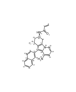 C=CC(=O)N[C@H]1Cc2c(c(-c3cnc4ccccc4c3)c3c(N)ncnn23)[C@H](C)C1